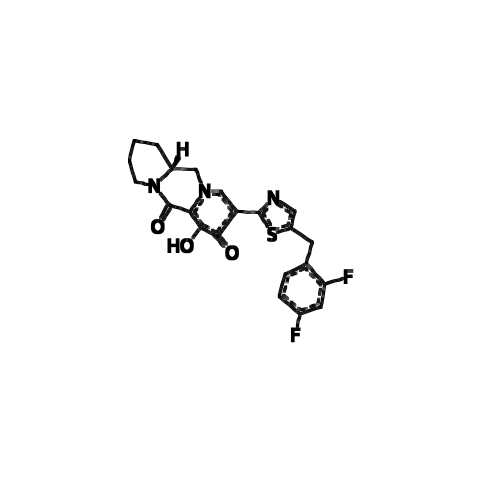 O=C1c2c(O)c(=O)c(-c3ncc(Cc4ccc(F)cc4F)s3)cn2C[C@H]2CCCCN12